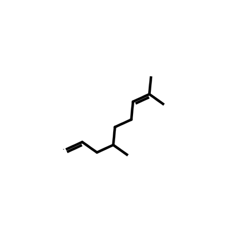 [CH]=CCC(C)CCC=C(C)C